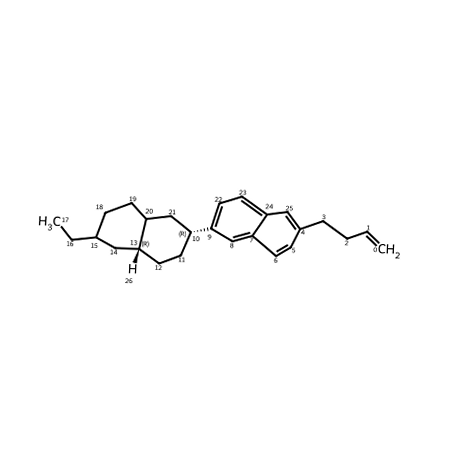 C=CCCc1ccc2cc([C@@H]3CC[C@@H]4CC(CC)CCC4C3)ccc2c1